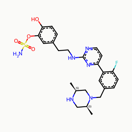 C[C@H]1CN(Cc2ccc(F)c(-c3ccnc(NCCc4ccc(O)c(OS(N)(=O)=O)c4)n3)c2)[C@@H](C)CN1